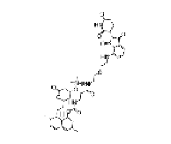 C[C@H]1C=C2C=C[C@H](C)[C@H](CC[C@@H]3C[C@@H](O[Si](C)(C)C(C)(C)C)CC(=O)O3)[C@H]2[C@@H](OC(=O)NCCC(=O)NCCOCCNc2cccc3c2C(=O)N(C2CCC(=O)NC2=O)C3=O)C1